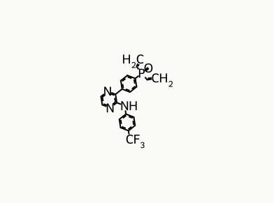 C=CP(=O)(C=C)c1ccc(-c2nccnc2Nc2ccc(C(F)(F)F)cc2)cc1